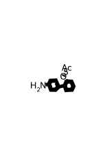 CC(=O)SOc1ccccc1-c1ccc(N)cc1